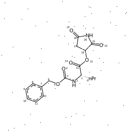 CCC[C@H](NC(=O)OCc1ccccc1)C(=O)OC1CC(=O)NC1=O